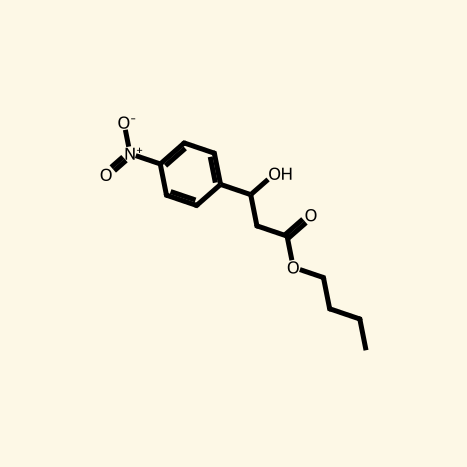 CCCCOC(=O)CC(O)c1ccc([N+](=O)[O-])cc1